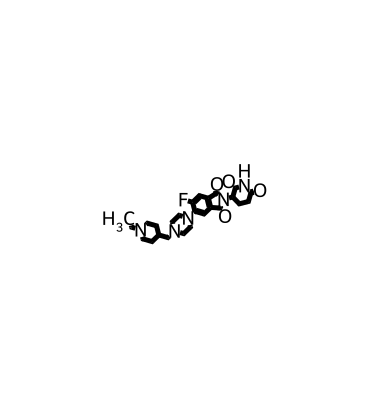 CCN1CCC(CN2CCN(c3cc4c(cc3F)C(=O)N(C3CCC(=O)NC3=O)C4=O)CC2)CC1